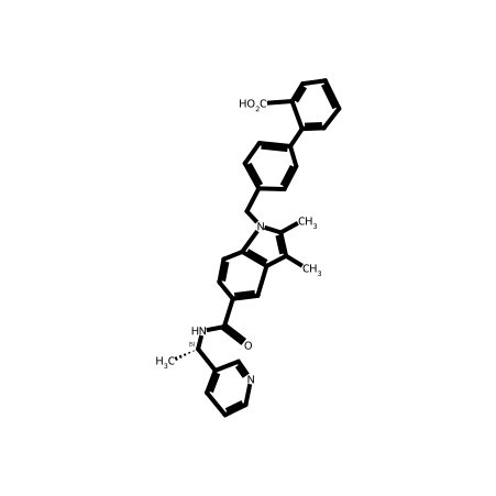 Cc1c(C)n(Cc2ccc(-c3ccccc3C(=O)O)cc2)c2ccc(C(=O)N[C@@H](C)c3cccnc3)cc12